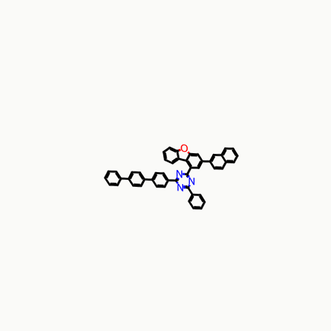 c1ccc(-c2ccc(-c3ccc(-c4nc(-c5ccccc5)nc(-c5cc(-c6ccc7ccccc7c6)cc6oc7ccccc7c56)n4)cc3)cc2)cc1